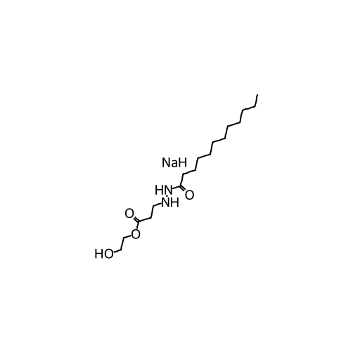 CCCCCCCCCCCC(=O)NNCCC(=O)OCCO.[NaH]